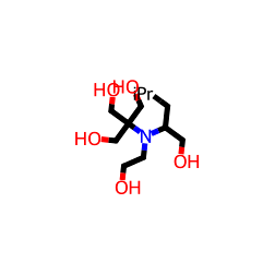 CC(C)CC(CO)N(CCO)C(CO)(CO)CO